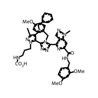 COc1ccc(Cn2c(-c3nc(C(=O)NCc4ccc(OC)cc4OC)cc4c3cnn4C)nnc2-c2c(OCc3ccccc3)c(C)nn2CCCNC(=O)O)cc1